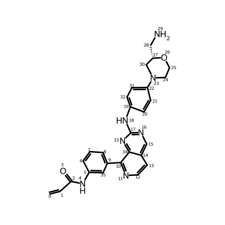 C=CC(=O)Nc1cccc(-c2nccc3cnc(Nc4ccc(N5CCO[C@@H](CN)C5)cc4)nc23)c1